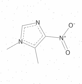 Cc1c([N+](=O)[O-])ncn1C